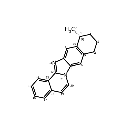 C[C@@H]1CCCc2cc3c(cc21)nc1c2ccccc2ccn31